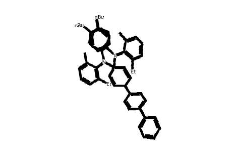 CCCCc1ccc(N(c2c(C)cccc2CC)C2(N(c3ccc(CCCC)cc3)c3c(C)cccc3CC)C=CC(c3ccc(-c4ccccc4)cc3)C=C2)cc1